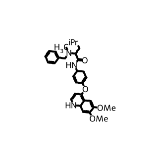 COC1=CC2=C(OC3=CCC(NC(=O)C(CC(C)C)N(C)Cc4ccccc4)C=C3)C=CNC2C=C1OC